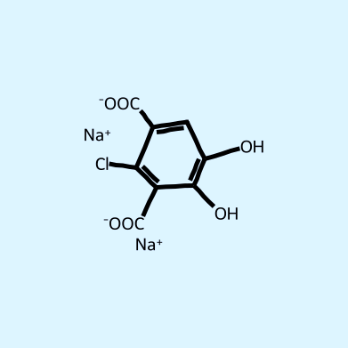 O=C([O-])c1cc(O)c(O)c(C(=O)[O-])c1Cl.[Na+].[Na+]